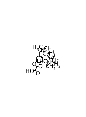 C[N+](C)(C)Cc1ccccc1.C[N+](C)(C)c1ccccc1.O=C([O-])C(=O)O.[Cl-]